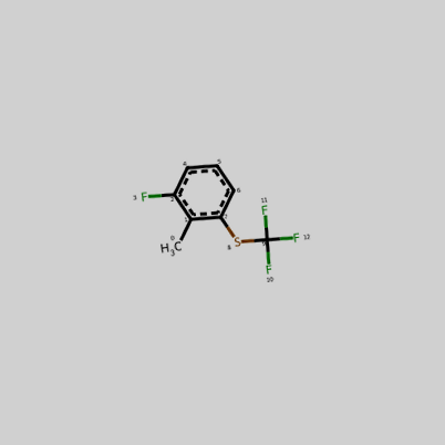 Cc1c(F)cccc1SC(F)(F)F